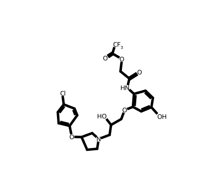 O=C(COC(=O)C(F)(F)F)Nc1ccc(O)cc1OCC(O)CN1CCC(Oc2ccc(Cl)cc2)C1